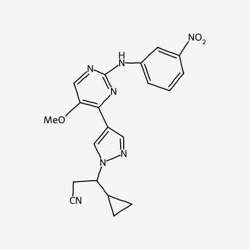 COc1cnc(Nc2cccc([N+](=O)[O-])c2)nc1-c1cnn(C(CC#N)C2CC2)c1